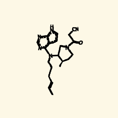 C/C=C/CCCN(c1ncnc2[nH]ccc12)C1CN(C(=O)CC#N)CC[C@H]1C